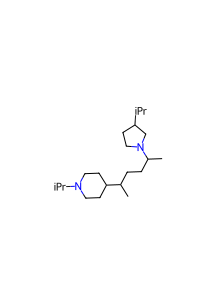 CC(C)C1CCN(C(C)CCC(C)C2CCN(C(C)C)CC2)C1